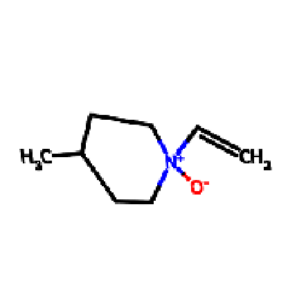 C=C[N+]1([O-])CCC(C)CC1